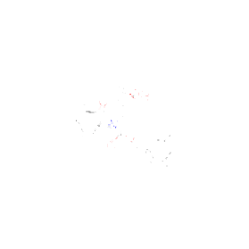 O=C(OCc1ccccc1)N1CC(CO)Oc2ccccc21